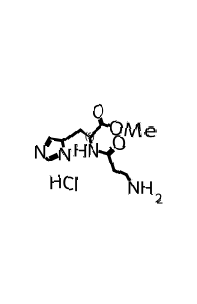 COC(=O)[C@H](CC1C=NC=N1)NC(=O)CCN.Cl